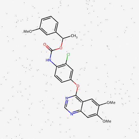 COc1cccc(C(C)OC(=O)Nc2ccc(Oc3ncnc4cc(OC)c(OC)cc34)cc2Cl)c1